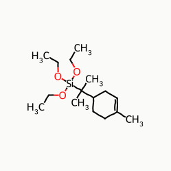 CCO[Si](OCC)(OCC)C(C)(C)C1CC=C(C)CC1